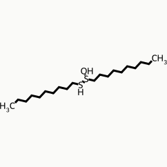 CCCCCCCCCC[SH]=S(O)CCCCCCCCCC